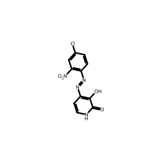 O=c1[nH]ccc(N=Nc2ccc(Cl)cc2[N+](=O)[O-])c1O